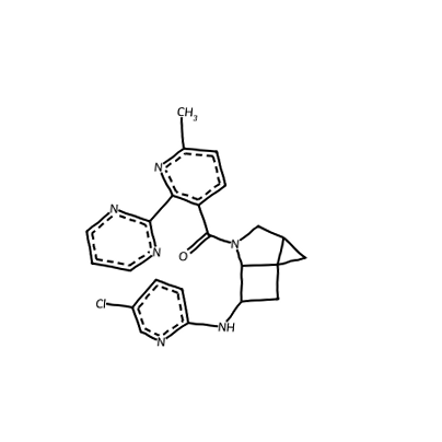 Cc1ccc(C(=O)N2CC3CC34CC(Nc3ccc(Cl)cn3)C24)c(-c2ncccn2)n1